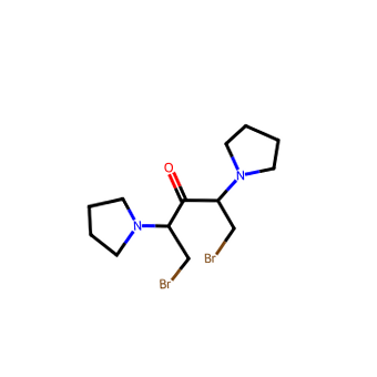 O=C(C(CBr)N1CCCC1)C(CBr)N1CCCC1